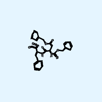 COC(=O)C(Cc1ccccc1)NC(=O)C(CC(=O)OCc1ccccc1)NC(=O)OCc1ccccc1